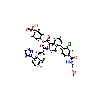 COCCNC(=O)c1ccc(-c2cccc3c2CCN(C(=O)/C=C/c2c(-n4cnnn4)ccc(Cl)c2F)C3C(=O)Nc2ccc(C(=O)O)cc2)c(Cl)c1